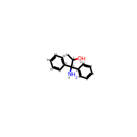 CC(O)C(N)(c1ccccc1)c1ccccc1